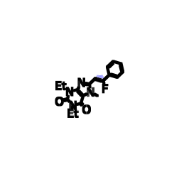 CCn1c(=O)c2c(nc(/C=C(\F)c3ccccc3)n2C)n(CC)c1=O